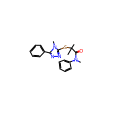 CN(C(=O)C(C)(C)Sc1nnc(-c2ccccc2)n1C)c1ccccc1